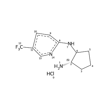 Cl.N[C@H]1CCCC1Nc1ccc(C(F)(F)F)cn1